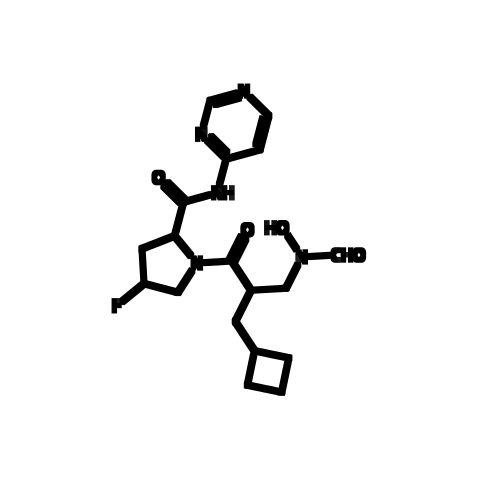 O=CN(O)CC(CC1CCC1)C(=O)N1CC(F)CC1C(=O)Nc1ccncn1